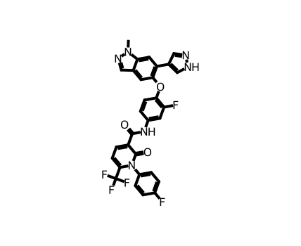 Cn1ncc2cc(Oc3ccc(NC(=O)c4ccc(C(F)(F)F)n(-c5ccc(F)cc5)c4=O)cc3F)c(-c3cn[nH]c3)cc21